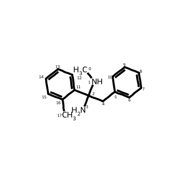 CNC(N)(Cc1ccccc1)c1ccccc1C